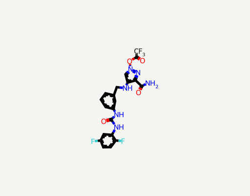 NC(=O)c1nn(OC(=O)C(F)(F)F)cc1NCc1cccc(NC(=O)Nc2cc(F)ccc2F)c1